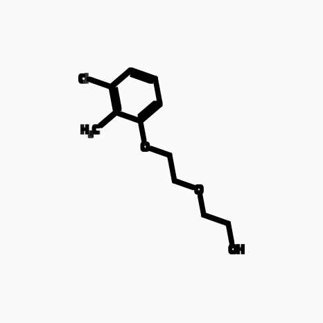 Cc1c(Cl)cccc1OCCOCCO